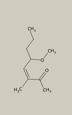 CCCC(C=C(C)C(C)=O)OC